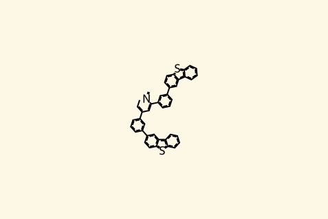 C=N/C(=C\C(=C/C)c1cccc(-c2ccc3sc4ccccc4c3c2)c1)c1cccc(-c2ccc3sc4ccccc4c3c2)c1